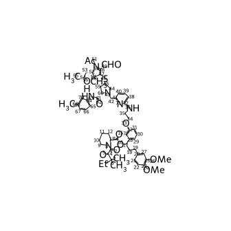 CCC(C)(C)C(=O)C(=O)N1CCCC[C@H]1C(=O)O[C@H](CCc1ccc(OC)c(OC)c1)c1cccc(OCCNc2cccc(CN3C[C@@H](SC4=C(C=O)N(C(C)=O)[C@@H](C[C@@H](C)O)[C@H]4C)C[C@H]3C(=O)Nc3cccc(C)c3)n2)c1